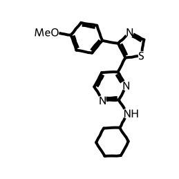 COc1ccc(-c2ncsc2-c2ccnc(NC3CCCCC3)n2)cc1